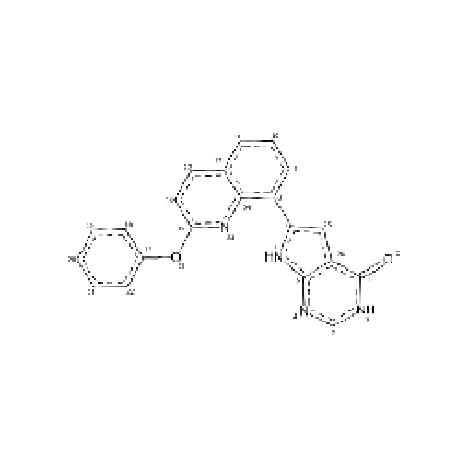 O=c1[nH]cnc2[nH]c(-c3cccc4ccc(Oc5ccccc5)nc34)cc12